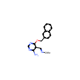 CO/N=C/c1c(N)ncnc1OCc1ccc2ccccc2c1